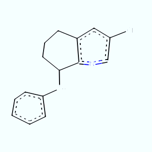 Cc1cnc2c(c1)CCCC2[Se]c1ccccc1